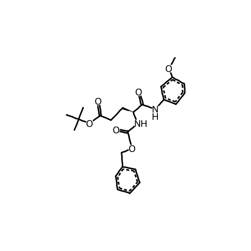 COc1cccc(NC(=O)[C@H](CCC(=O)OC(C)(C)C)NC(=O)OCc2ccccc2)c1